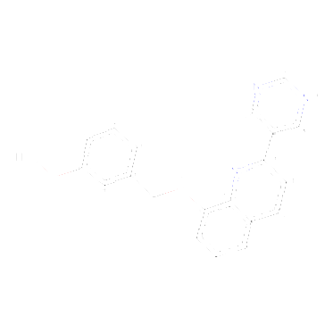 COc1cccc(COc2cccc3ccc(-c4cncnc4)nc23)c1